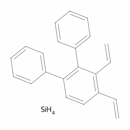 C=Cc1ccc(-c2ccccc2)c(-c2ccccc2)c1C=C.[SiH4]